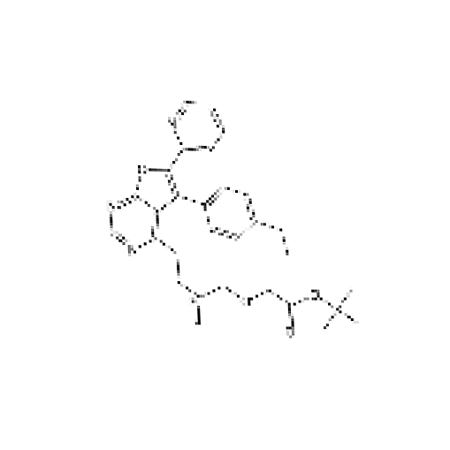 CCc1ccc(-c2c(-c3ccccn3)oc3ncnc(CC[C@H](C)COCC(=O)OC(C)(C)C)c23)cc1